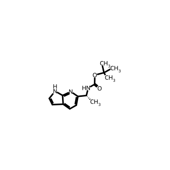 C[C@@H](NC(=O)OC(C)(C)C)c1ccc2cc[nH]c2n1